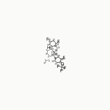 CCC[C@@H]1CC[C@H]2c3cc(F)cc(F)c3CC[C@@H]2[C@H]1c1ccc(OC(F)(F)F)c(F)c1